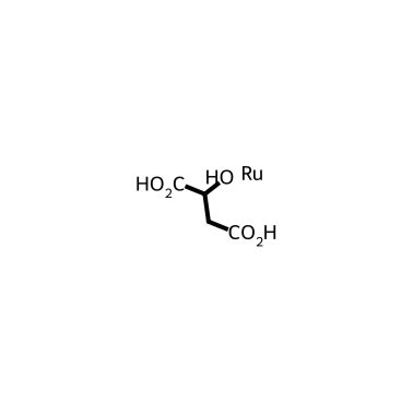 O=C(O)CC(O)C(=O)O.[Ru]